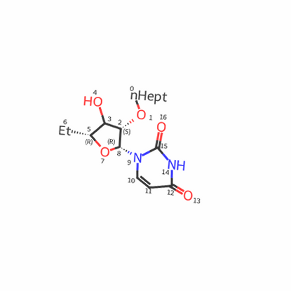 CCCCCCCO[C@H]1C(O)[C@@H](CC)O[C@H]1n1ccc(=O)[nH]c1=O